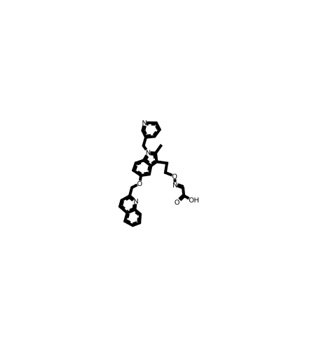 Cc1c(CCON=CC(=O)O)c2cc(OCc3ccc4ccccc4n3)ccc2n1Cc1cccnc1